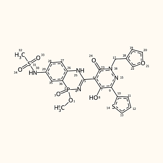 COP1(=O)N=C(c2c(O)c(-c3cccs3)nn(Cc3ccoc3)c2=O)Nc2ccc(NS(C)(=O)=O)cc21